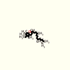 CCc1c(C)c(C)c2c(c1C)CC[C@@](C)(CCC[C@H](C)CCC[C@H](C)CCCC(C)C)O2